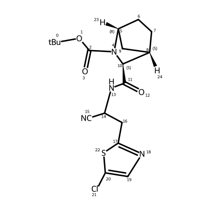 CC(C)(C)OC(=O)N1[C@@H]2CC[C@@H](C2)[C@H]1C(=O)NC(C#N)Cc1ncc(Cl)s1